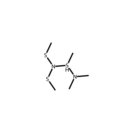 CSN(SC)[SH](C)N(C)C